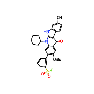 CC(C)COc1cc2c(=O)c3c4ccc(C#N)cc4[nH]c3n(C3CCCCC3)c2cc1-c1cccc(S(=O)(=O)F)c1